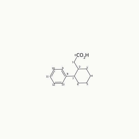 O=C(O)CC1CCCCC1c1ccccc1